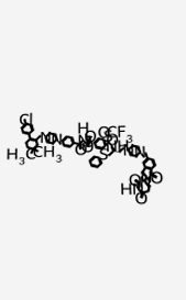 CC1(C)CCC(c2ccc(Cl)cc2)=C(CN2CCN(c3ccc(C(=O)NS(=O)(=O)c4ccc(N[C@H](CCN5CCN(Cc6ccc7c(c6)CN(N6CCC(=O)NC6=O)C7=O)CC5)CSc5ccccc5)c(S(=O)(=O)C(F)(F)F)c4)cc3)CC2)C1